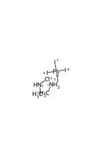 CN.CNCl.[I][Pb]([I])([I])[I]